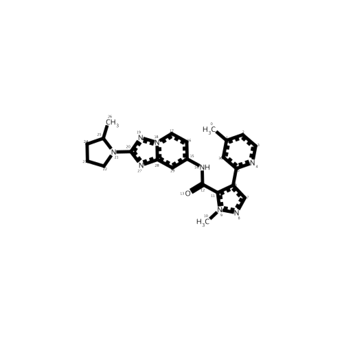 Cc1ccnc(-c2cnn(C)c2C(=O)Nc2ccn3nc(N4CCCC4C)nc3c2)c1